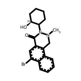 CN1Cc2c(cc(Br)c3ccccc23)C(=O)N1C1CCCC[C@@H]1O